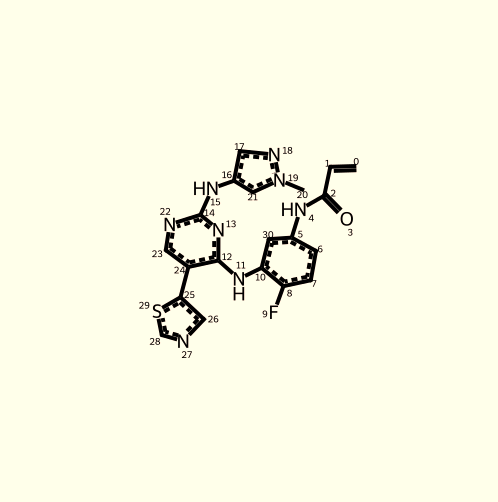 C=CC(=O)Nc1ccc(F)c(Nc2nc(Nc3cnn(C)c3)ncc2-c2cncs2)c1